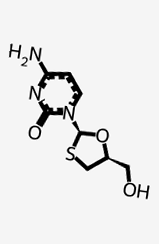 Nc1ccn([C@H]2O[C@@H](CO)CS2)c(=O)n1